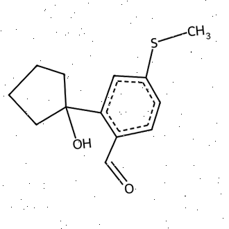 CSc1ccc(C=O)c(C2(O)CCCC2)c1